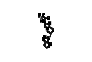 O=C(Nc1cn2cc(Cn3nnc4cccnc43)ccc2n1)C(F)(F)F